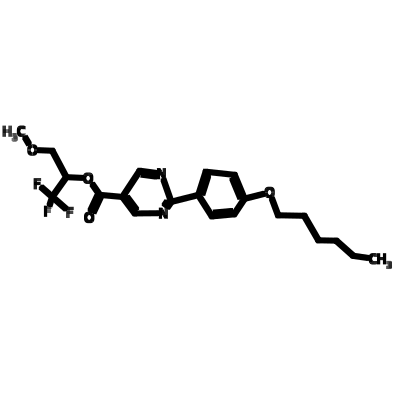 CCCCCCOc1ccc(-c2ncc(C(=O)OC(COC)C(F)(F)F)cn2)cc1